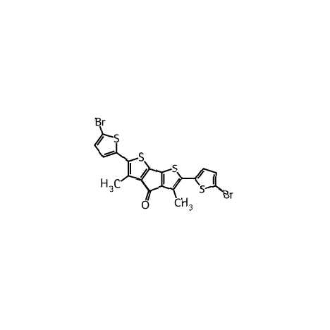 Cc1c(-c2ccc(Br)s2)sc2c1C(=O)c1c-2sc(-c2ccc(Br)s2)c1C